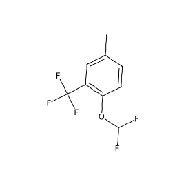 Cc1ccc(OC(F)F)c(C(F)(F)F)c1